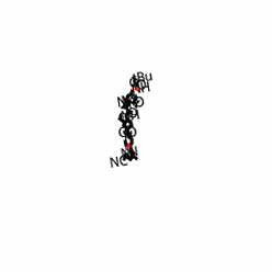 Cc1cc(C#N)nc(N2CCN(S(=O)(=O)c3ccc4c(c3)CCN4C(=O)c3cnn(CCCNC(=O)OC(C)(C)C)c3NS(C)(=O)=O)CC2)n1